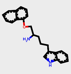 NC(CCCc1c[nH]c2ccccc12)COc1cccc2ccccc12